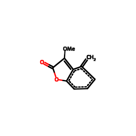 C=c1cccc2c1=C(OC)C(=O)O2